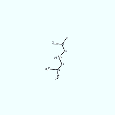 CC(C)CNCC(F)F